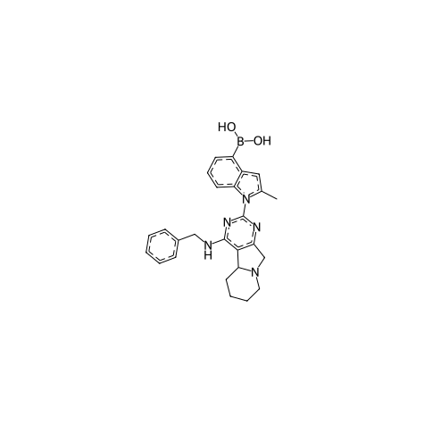 Cc1cc2c(B(O)O)cccc2n1-c1nc2c(c(NCc3ccccc3)n1)C1CCCCN1C2